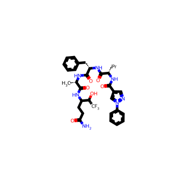 CC(C)[C@H](NC(=O)c1cnn(-c2ccccc2)c1)C(=O)N[C@@H](Cc1ccccc1)C(=O)N[C@@H](C)C(=O)NC(CCC(N)=O)C(O)C(F)(F)F